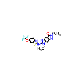 CCNC(=O)c1ccc2c(c1)nc(Nc1nc3ccc(OC(F)(F)F)cc3s1)n2CC